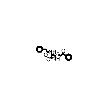 O=C(Cc1ccccc1)N[C@@H]1C(=O)N[C@@H]1SCC(=O)c1ccccc1